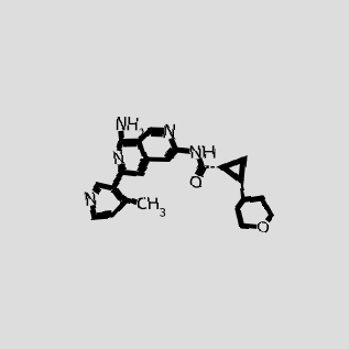 Cc1ccncc1-c1cc2cc(NC(=O)[C@@H]3C[C@H]3C3CCOCC3)ncc2c(N)n1